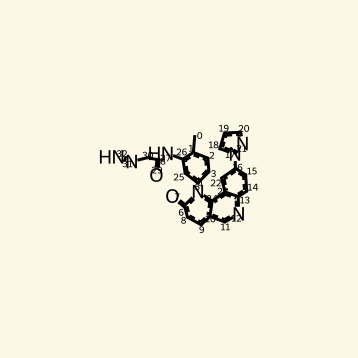 Cc1ccc(-n2c(=O)ccc3cnc4ccc(-n5cccn5)cc4c32)cc1NC(=O)CN=N